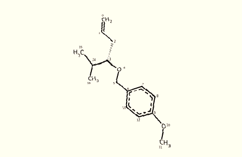 C=CC[C@H](OCc1ccc(OC)cc1)C(C)C